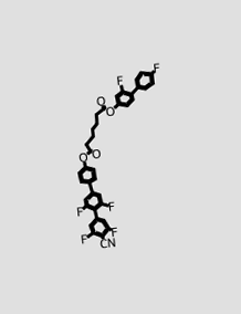 N#Cc1c(F)cc(-c2c(F)cc(-c3ccc(OC(=O)CCCCCC(=O)Oc4ccc(-c5ccc(F)cc5)c(F)c4)cc3)cc2F)cc1F